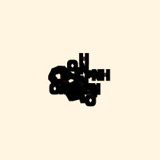 COc1ccccc1-c1cccc(C#N)c1C1(C2CC2)C(=O)NC(=N)N1C1CCOCC1